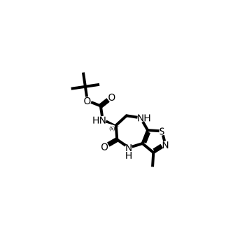 Cc1nsc2c1NC(=O)[C@@H](NC(=O)OC(C)(C)C)CN2